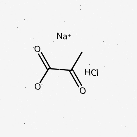 CC(=O)C(=O)[O-].Cl.[Na+]